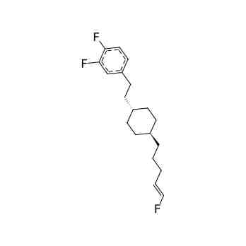 FC=CCCC[C@H]1CC[C@H](CCc2ccc(F)c(F)c2)CC1